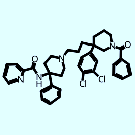 O=C(NC1(c2ccccc2)CCN(CCCC2(c3ccc(Cl)c(Cl)c3)CCCN(C(=O)c3ccccc3)C2)CC1)c1ccccn1